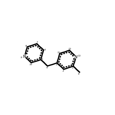 Cc1cc(Cc2cccnc2)ccn1